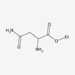 CCOC(=O)C(N)CC(N)=O